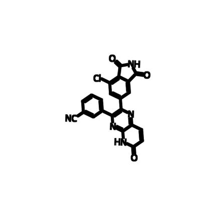 N#Cc1cccc(-c2nc3[nH]c(=O)ccc3nc2-c2cc(Cl)c3c(c2)C(=O)NC3=O)c1